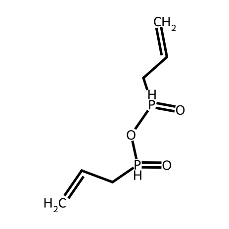 C=CC[PH](=O)O[PH](=O)CC=C